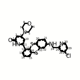 O=c1cc(N2CCOCC2)cc(-c2cccc3c2Sc2ccc(NCc4cc(Cl)ccn4)cc2S3)[nH]1